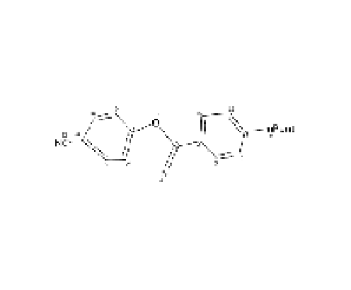 CCCCCc1ccc(C(=S)Oc2ccc(C#N)cc2)cc1